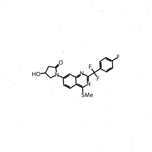 CSc1nc(C(F)(F)c2ccc(F)cc2)nc2cc(N3CC(O)CC3=O)ccc12